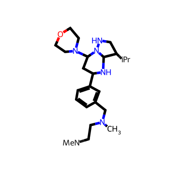 CNCCN(C)Cc1cccc(C2CC(N3CCOCC3)N3NCC(C(C)C)C3N2)c1